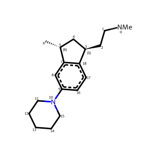 CNCC[C@@H]1C[C@@H](C)c2cc(N3CCCCC3)ccc21